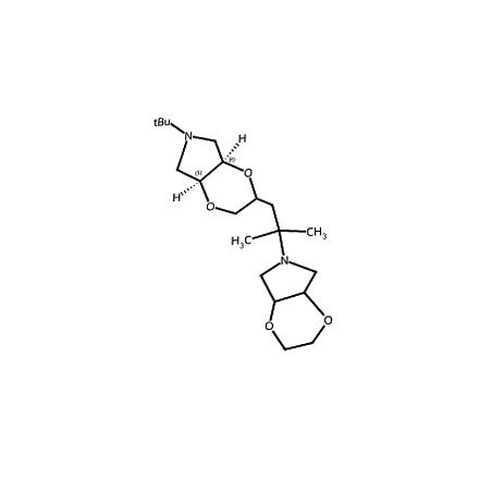 CC(C)(C)N1C[C@@H]2OCC(CC(C)(C)N3CC4OCCOC4C3)O[C@@H]2C1